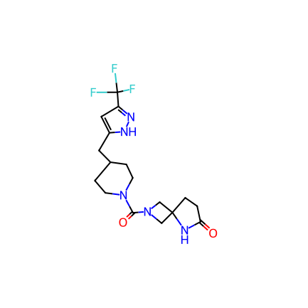 O=C1CCC2(CN(C(=O)N3CCC(Cc4cc(C(F)(F)F)n[nH]4)CC3)C2)N1